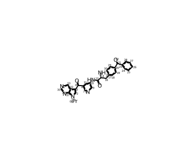 CC(C)n1cc(C(=O)c2cncc(NC(=O)[C@@H](N)Cc3ccc(C(=O)c4ccccc4)cc3)c2)c2cncnc21